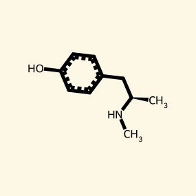 CN[C@H](C)Cc1ccc(O)cc1